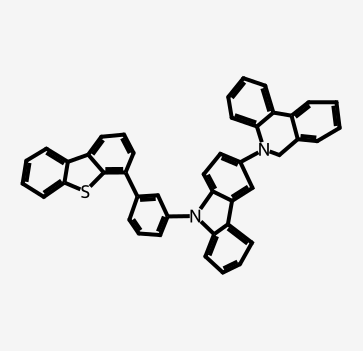 c1cc(-c2cccc3c2sc2ccccc23)cc(-n2c3ccccc3c3cc(N4Cc5ccccc5-c5ccccc54)ccc32)c1